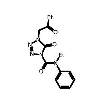 CCC(=O)Cn1nnn(C(=O)N(CC)c2ccccc2)c1=O